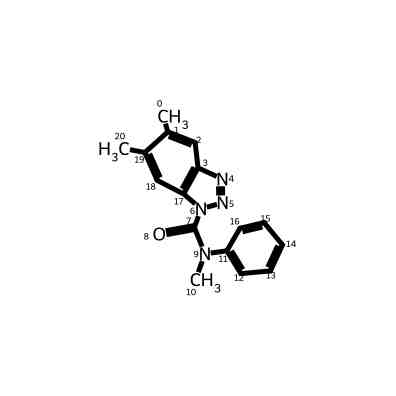 Cc1cc2nnn(C(=O)N(C)c3ccccc3)c2cc1C